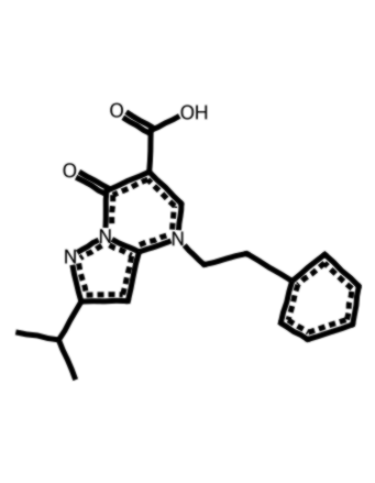 CC(C)c1cc2n(CCc3ccccc3)cc(C(=O)O)c(=O)n2n1